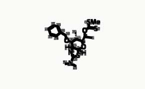 CSC(=S)OC(C)[C@H]1O[C@@H]2SC(N(C)C)=N[C@@H]2[C@@H](OCc2ccccc2)[C@@H]1C